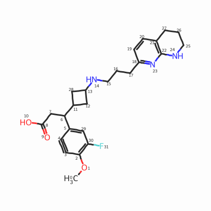 COc1c#cc(C(CC(=O)O)C2CC(NCCCc3ccc4c(n3)NCCC4)C2)cc1F